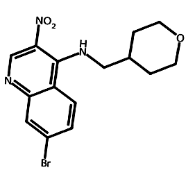 O=[N+]([O-])c1cnc2cc(Br)ccc2c1NCC1CCOCC1